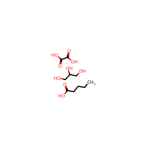 CCCCC(=O)O.O=C(O)C(=O)O.OCC(O)CO